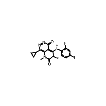 CN1C(=O)C(F)C(Nc2ccc(I)cc2F)=C2C(=O)N=NC(C3CC3)=C21